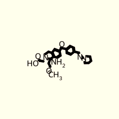 COCCC1(N)c2ccc(C(=O)c3ccc(C=NN4CCCCC4)cc3)cc2CCN1CC(=O)O